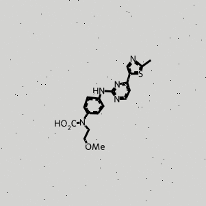 COCCN(C(=O)O)c1ccc(Nc2nccc(-c3cnc(C)s3)n2)cc1